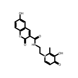 Cc1c(O)c(=O)ccn1CCNC(=O)c1cc2cc(O)ccc2oc1=O